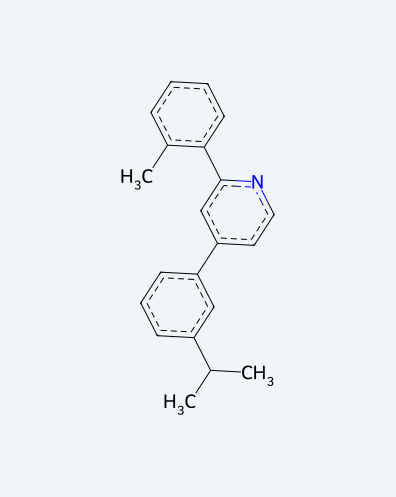 Cc1ccccc1-c1cc(-c2cccc(C(C)C)c2)ccn1